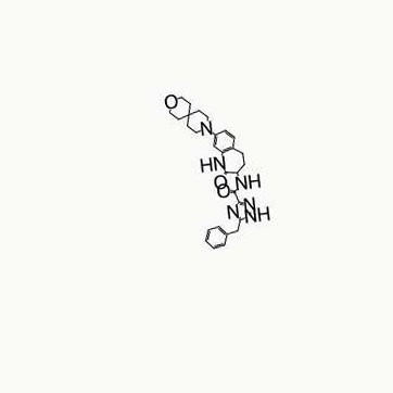 O=C(NC1CCc2ccc(N3CCC4(CCOCC4)CC3)cc2NC1=O)c1n[nH]c(Cc2ccccc2)n1